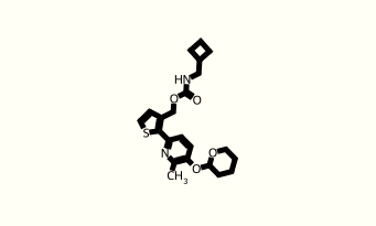 Cc1nc(-c2sccc2COC(=O)NCC2CCC2)ccc1OC1CCCCO1